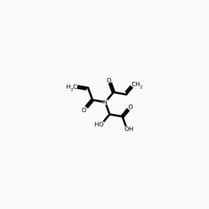 C=CC(=O)N(C(=O)C=C)C(O)C(=O)O